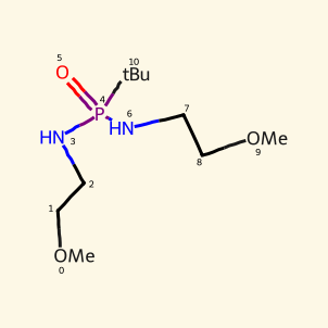 COCCNP(=O)(NCCOC)C(C)(C)C